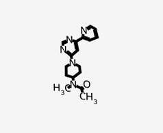 CC(=O)N(C)C1CCN(c2cc(-c3ccccn3)ncn2)CC1